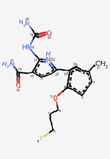 Cc1ccc(OCCCF)c(-c2cc(C(N)=O)c(NC(N)=O)[nH]2)c1